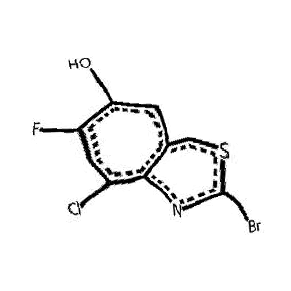 Oc1cc2sc(Br)nc2c(Cl)c1F